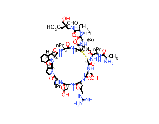 CCC[C@H](NC(=O)[C@H](C)N)C(=O)N[C@H]1SSC(C)(C)[C@@H](C(=O)N[C@H](C(=O)N(CCC)[C@@H](C)C(=O)NC[C@@](C=O)(CO)CC(=O)O)[C@@H](C)CC)NC(=O)[C@H](CCC)NC(=O)[C@@H]2C[C@@H]3CCCCC3N2C(=O)[C@@H]2CCCN2C(=O)[C@H](CC(C)C)NC(=O)[C@H](CCO)NC(=O)[C@H](CCCNC(=N)N)NC(=O)[C@H](CO)NC1=O